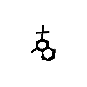 Cc1cc(C(C)(C)C)cc2c1SC=C=N2